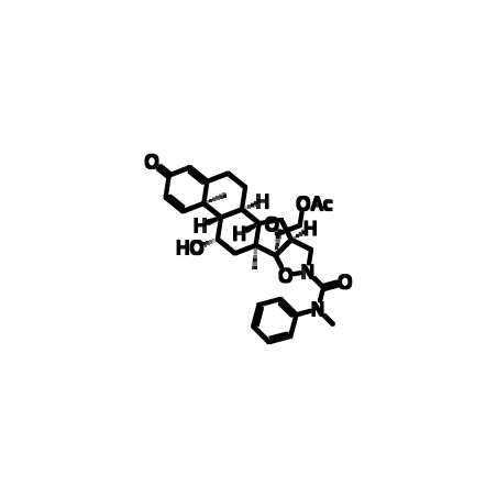 CC(=O)OCC(=O)[C@@]12ON(C(=O)N(C)c3ccccc3)C[C@@H]1C[C@H]1[C@@H]3CCC4=CC(=O)C=C[C@]4(C)[C@H]3[C@@H](O)C[C@@]12C